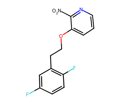 O=[N+]([O-])c1ncccc1OCCc1cc(F)ccc1F